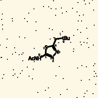 CC(=O)Nc1nnc(CC(C)(C)C)s1